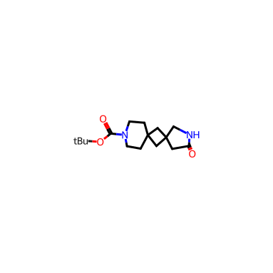 CC(C)(C)OC(=O)N1CCC2(CC1)CC1(CNC(=O)C1)C2